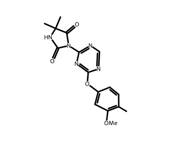 COc1cc(Oc2ncnc(N3C(=O)NC(C)(C)C3=O)n2)ccc1C